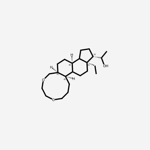 CC[C@]12CCC3[C@@H](CC[C@@H]4COCCOCCC[C@H]34)C1CC[C@@H]2C(C)O